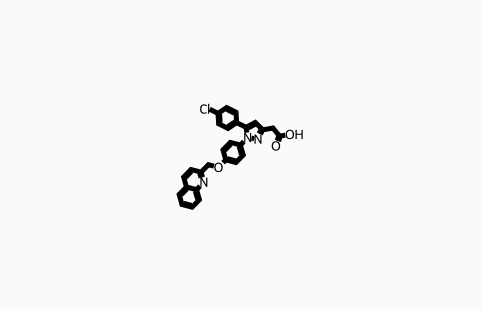 O=C(O)Cc1cc(-c2ccc(Cl)cc2)n(-c2ccc(OCc3ccc4ccccc4n3)cc2)n1